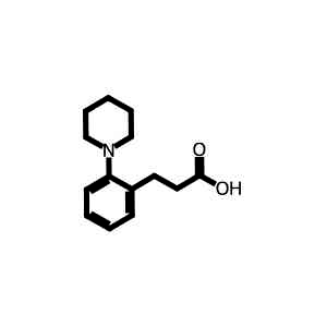 O=C(O)CCc1ccccc1N1CCCCC1